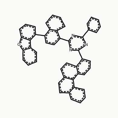 c1ccc(-c2nc(-c3ccc(-c4cccc5oc6ccccc6c45)c4ccccc34)nc(-c3cccc4c3ccc3ccc5ccccc5c34)n2)cc1